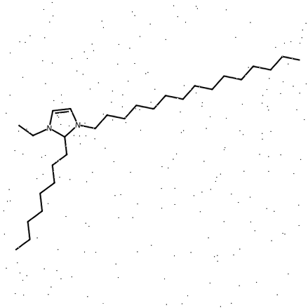 CCCCCCCCCCCCCCCN1C=CN(CC)C1CCCCCCCC